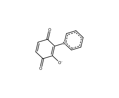 O=C1C=CC(=O)C([n+]2ccccc2)=C1[O-]